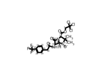 CC1(C)[C@H](C(=O)OCC(Cl)(Cl)Cl)N2C(=O)[C@@H](NC(=O)Cc3ccc(C(F)(F)F)cc3)[C@H]2[S@@+]1[O-]